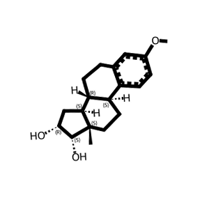 COc1ccc2c(c1)CC[C@@H]1[C@@H]2CC[C@]2(C)[C@H](O)[C@H](O)C[C@@H]12